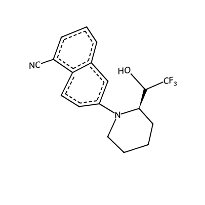 N#Cc1cccc2cc(N3CCCC[C@@H]3C(O)C(F)(F)F)ccc12